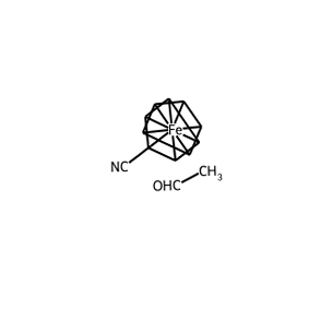 CC=O.N#C[C]12[CH]3[CH]4[CH]5[CH]1[Fe]45321678[CH]2[CH]1[CH]6[CH]7[CH]28